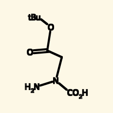 CC(C)(C)OC(=O)CN(N)C(=O)O